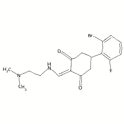 CN(C)CCNC=C1C(=O)CC(c2c(F)cccc2Br)CC1=O